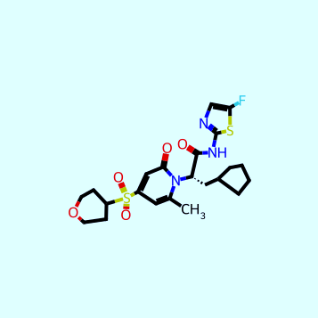 Cc1cc(S(=O)(=O)C2CCOCC2)cc(=O)n1[C@@H](CC1CCCC1)C(=O)Nc1ncc(F)s1